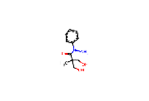 CC(CO)(CO)C(=O)N(N)c1ccccc1